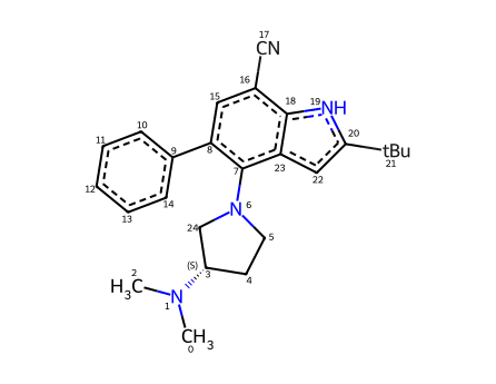 CN(C)[C@H]1CCN(c2c(-c3ccccc3)cc(C#N)c3[nH]c(C(C)(C)C)cc23)C1